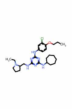 CCCOc1ccc(Nc2nc(NCC3CCCN3CC)nc(NC3CCCCCC3)n2)cc1Cl